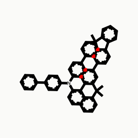 CC1(C)c2ccccc2-c2ccc(-c3ccc4c(c3)C(C)(C)c3cccc5ccc(N(c6ccc(-c7ccccc7)cc6)c6ccc(-c7ccccc7)cc6)c-4c35)cc21